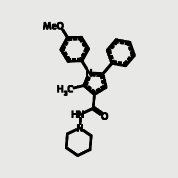 COc1ccc(-n2c(-c3ccccc3)cc(C(=O)NN3CCCCC3)c2C)cc1